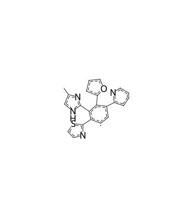 Cc1c[nH]c(-c2c(-c3nccs3)[c]cc(-c3ccccn3)c2-c2ccco2)n1